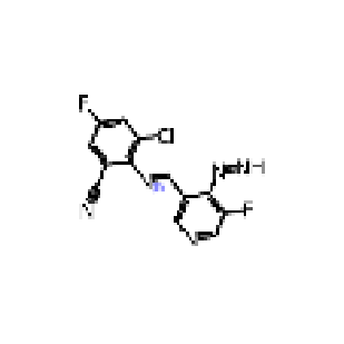 N#Cc1cc(F)cc(Cl)c1/N=C/c1cncc(F)c1N=N